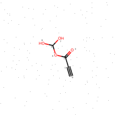 C#CC(=O)OC(O)O